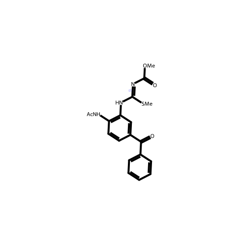 COC(=O)/N=C(/Nc1cc(C(=O)c2ccccc2)ccc1NC(C)=O)SC